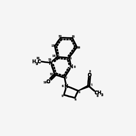 CC(=O)[C@H]1CCN1c1nc2ccccc2n(C)c1=O